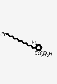 CCc1ccc(C(=O)O)c(C(=O)O)c1CCCCCCCCCCCCC(C)C